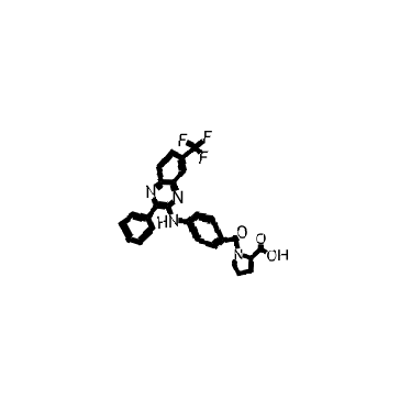 O=C(O)C1CCCN1C(=O)c1ccc(Nc2nc3cc(C(F)(F)F)ccc3nc2-c2ccccc2)cc1